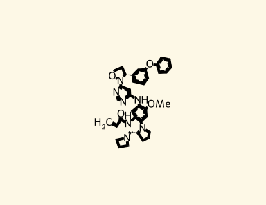 C=CC(=O)Nc1cc(Nc2cc(N3OCC[C@@H]3c3cccc(Oc4ccccc4)c3)ncn2)c(OC)cc1N1CCC[C@@H]1CN1CCC1